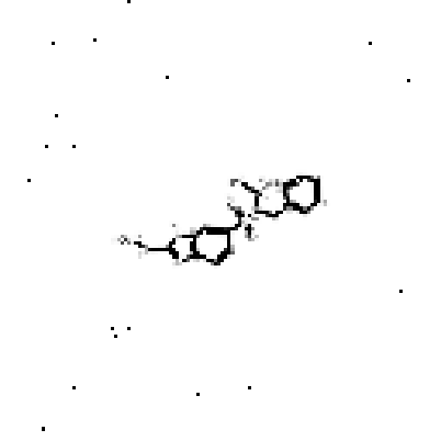 CCCCCCCCSc1nc2ccc(S(=O)(=O)N(Cc3ccccc3)[C@@H](C(=O)O)C(C)C)cc2s1